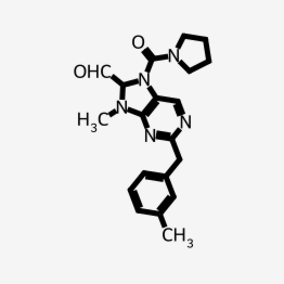 Cc1cccc(Cc2ncc3c(n2)N(C)C(C=O)N3C(=O)N2CCCC2)c1